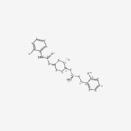 Cc1ccccc1NC(=O)CN1CCN(C[C@H](O)COc2ccccc2F)[C@@H](C)C1